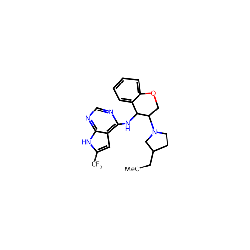 COCC1CCN(C2COc3ccccc3C2Nc2ncnc3[nH]c(C(F)(F)F)cc23)C1